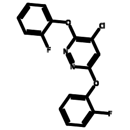 Fc1ccccc1Oc1cc(Cl)c(Oc2ccccc2F)nn1